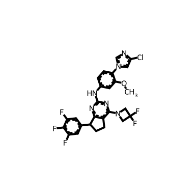 COc1cc(Nc2nc3c(c(N4CC(F)(F)C4)n2)CCC3c2cc(F)c(F)c(F)c2)ccc1-n1cnc(Cl)c1